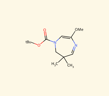 COC1=CN(C(=O)OC(C)(C)C)CC(C)(C)C=N1